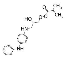 C=C(C)C(=O)OOCC(O)CNc1ccc(Nc2ccccc2)cc1